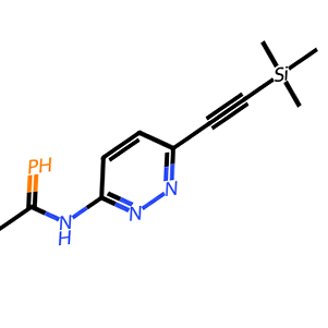 CC(=P)Nc1ccc(C#C[Si](C)(C)C)nn1